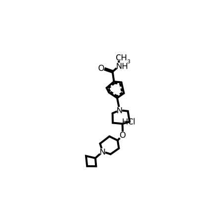 CNC(=O)c1ccc(N2CCC(OC3CCN(C4CCC4)CC3)CC2)cc1.Cl